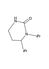 CC(C)C1CCNC(=O)N1C(C)C